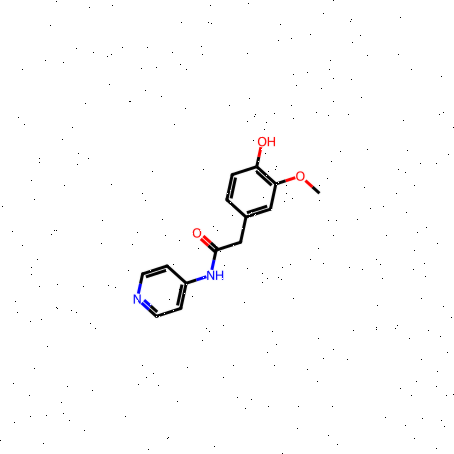 COc1cc(CC(=O)Nc2ccncc2)ccc1O